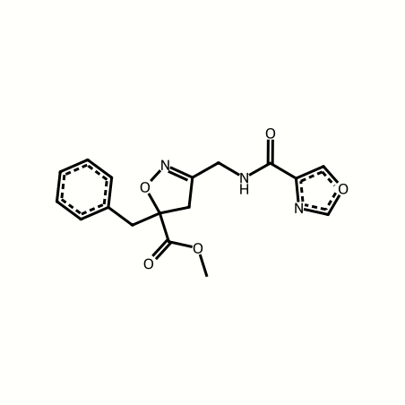 COC(=O)C1(Cc2ccccc2)CC(CNC(=O)c2cocn2)=NO1